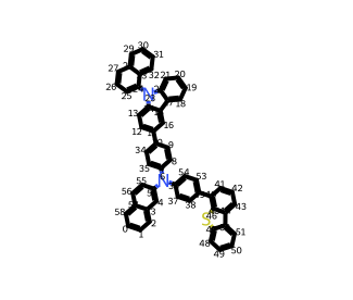 c1ccc2cc(N(c3ccc(-c4ccc5c(c4)c4ccccc4n5-c4cccc5ccccc45)cc3)c3ccc(-c4cccc5c4sc4ccccc45)cc3)ccc2c1